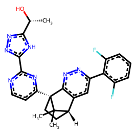 C[C@@H](O)c1nnc(-c2nccc([C@]34CC[C@@H](c5cc(-c6c(F)cccc6F)nnc53)C4(C)C)n2)[nH]1